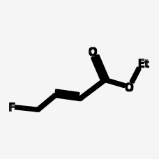 CCOC(=O)C=CCF